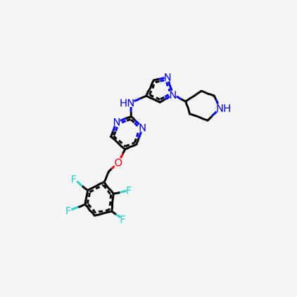 Fc1cc(F)c(F)c(COc2cnc(Nc3cnn(C4CCNCC4)c3)nc2)c1F